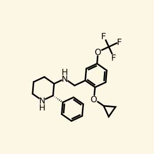 FC(F)(F)Oc1ccc(OC2CC2)c(CNC2CCCN[C@H]2c2ccccc2)c1